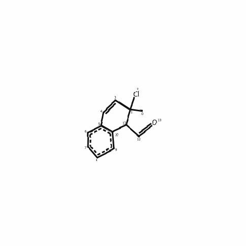 CC1(Cl)C=Cc2ccccc2C1C=O